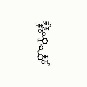 CC1=CC=C(CC2CN(c3cccc(COC(=O)NC(=N)N)c3F)C2)CN1